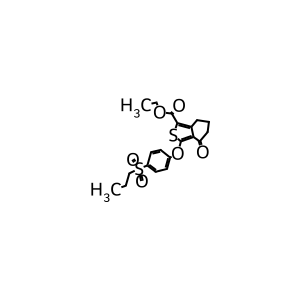 CCCS(=O)(=O)c1ccc(Oc2sc(C(=O)OCC)c3c2C(=O)CCC3)cc1